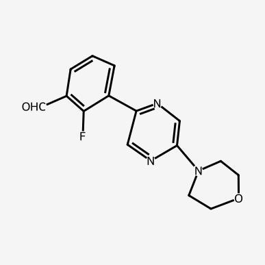 O=Cc1cccc(-c2cnc(N3CCOCC3)cn2)c1F